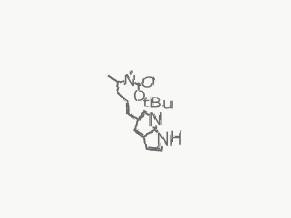 CC(CC=Cc1cnc2[nH]ccc2c1)N(C)C(=O)OC(C)(C)C